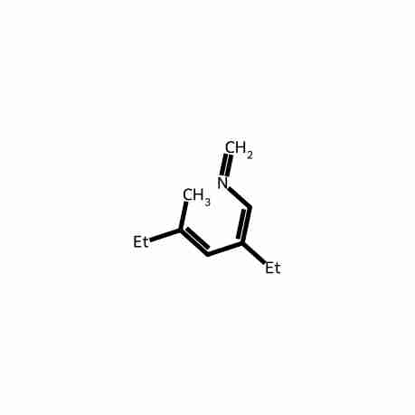 C=N/C=C(\C=C(/C)CC)CC